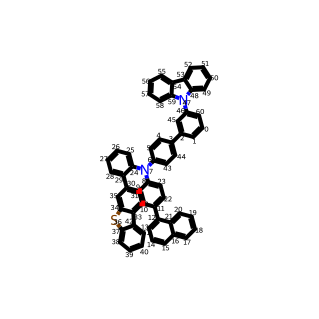 c1cc(-c2ccc(N(c3ccc(-c4cccc5ccccc45)cc3)c3ccccc3-c3ccc4c(c3)sc3ccccc34)cc2)cc(-n2c3ccccc3c3ccccc32)c1